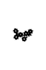 Cc1ccccc1N(c1ccc2c(c1)C(C)(C)c1ccccc1-2)c1ccc2c(c1)c1ccccc1n2-c1ccccc1